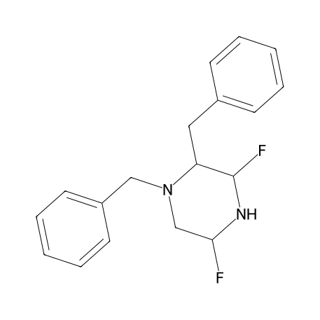 FC1CN(Cc2ccccc2)C(Cc2ccccc2)C(F)N1